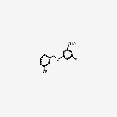 O=Cc1cc(F)cc(OCc2cccc(C(F)(F)F)c2)c1